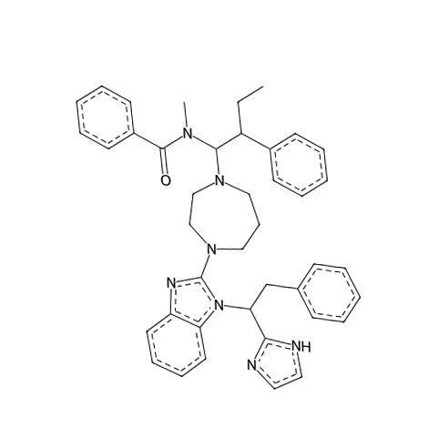 CCC(c1ccccc1)C(N1CCCN(c2nc3ccccc3n2C(Cc2ccccc2)c2ncc[nH]2)CC1)N(C)C(=O)c1ccccc1